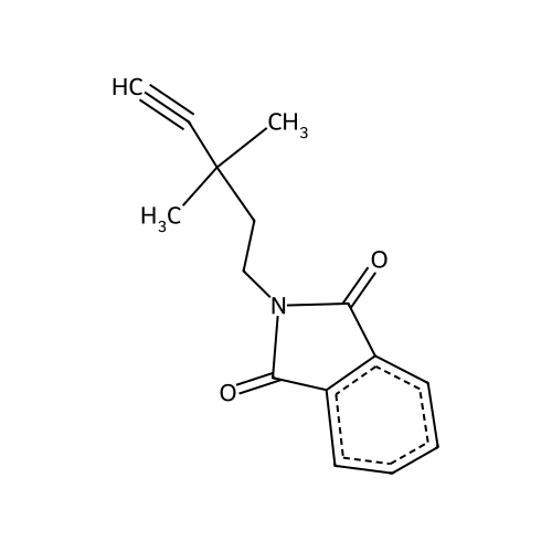 C#CC(C)(C)CCN1C(=O)c2ccccc2C1=O